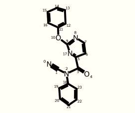 N#CN(C(=O)c1ccnc(Oc2ccccc2)n1)c1ccccc1